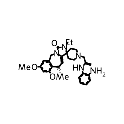 C=C(CN1CCC2(CC1)C1=C[C@H](C)c3c(cc(OC)cc3OC)CN1C(=O)N2CC)Nc1ccccc1N